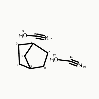 C1CC2CCC1C2.N#CO.N#CO